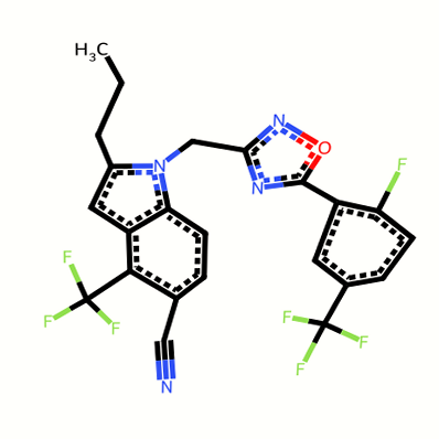 CCCc1cc2c(C(F)(F)F)c(C#N)ccc2n1Cc1noc(-c2cc(C(F)(F)F)ccc2F)n1